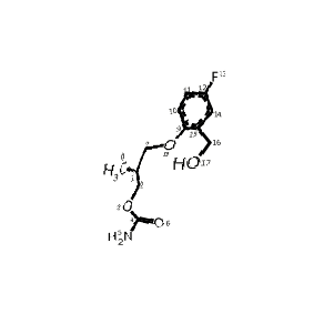 C[C@H](COC(N)=O)COc1ccc(F)cc1CO